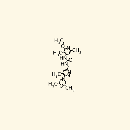 CCOc1nc(C)cc(NC(=O)NCc2cc(C)c(N3C[C@@H](C)O[C@@H](C)C3)nn2)c1C